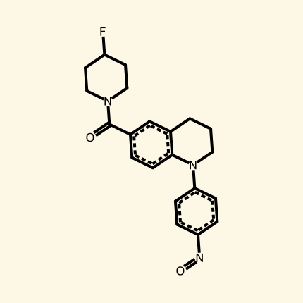 O=Nc1ccc(N2CCCc3cc(C(=O)N4CCC(F)CC4)ccc32)cc1